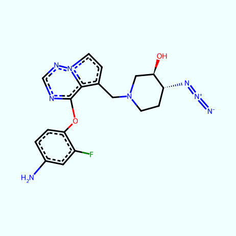 [N-]=[N+]=N[C@@H]1CCN(Cc2ccn3ncnc(Oc4ccc(N)cc4F)c23)C[C@H]1O